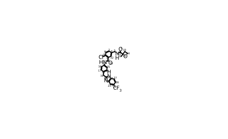 CC1(C(=O)NCc2ccc(Cl)c(C(=O)Nc3ccc(Cc4nc5cc(C(F)(F)F)ccc5[nH]4)cc3)c2)CCO1